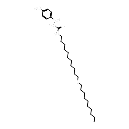 CCCCCCCCCCSCCCCCCCCCCCNC(=O)NNc1ccc(O)cc1